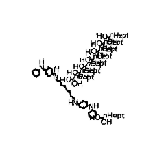 CCCCCCCC(O)O.CCCCCCCC(O)O.CCCCCCCC(O)O.CCCCCCCC(O)O.CCCCCCCC(O)O.CCCCCCCC(O)O.CCCCCCCC(O)O.CCCCCCCC(O)O.c1ccc(Nc2ccc(NCCCCCCCCNc3ccc(Nc4ccccc4)cc3)cc2)cc1